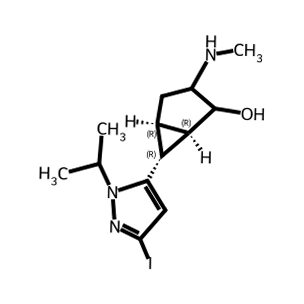 CNC1C[C@@H]2[C@@H](c3cc(I)nn3C(C)C)[C@@H]2C1O